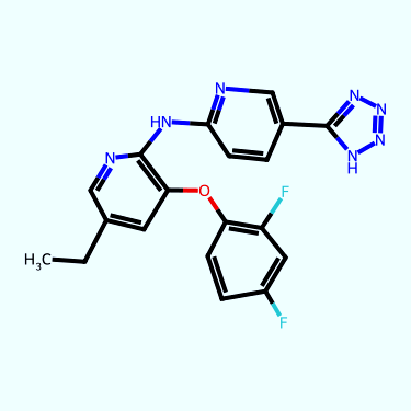 CCc1cnc(Nc2ccc(-c3nnn[nH]3)cn2)c(Oc2ccc(F)cc2F)c1